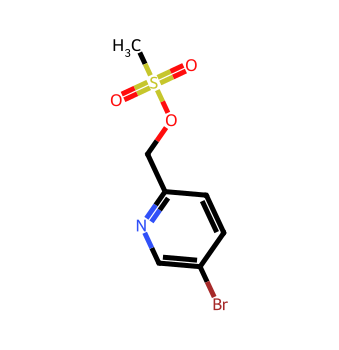 CS(=O)(=O)OCc1ccc(Br)cn1